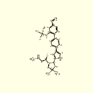 CNCC(=O)N1CC(C)(C)CC1c1nc(-c2ccc(-c3ccc(C=O)cc3OC(F)(F)F)cc2)c[nH]1